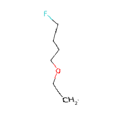 [CH2]COCCCCF